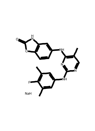 Cc1cnc(Nc2cc(C)c(F)c(C)c2)nc1Nc1ccc2oc(=O)[nH]c2c1.[NaH]